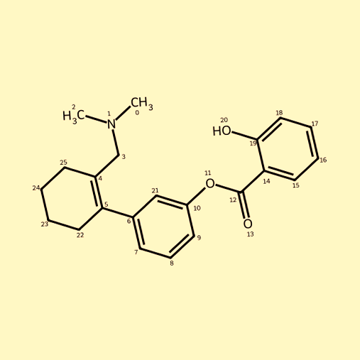 CN(C)CC1=C(c2cccc(OC(=O)c3ccccc3O)c2)CCCC1